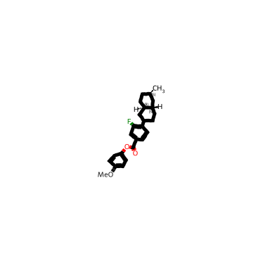 COc1ccc(OC(=O)c2ccc(C3CC[C@H]4C[C@@H](C)CC[C@@H]4C3)c(F)c2)cc1